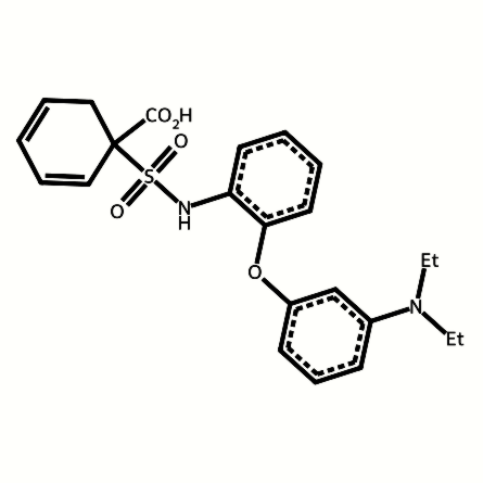 CCN(CC)c1cccc(Oc2ccccc2NS(=O)(=O)C2(C(=O)O)C=CC=CC2)c1